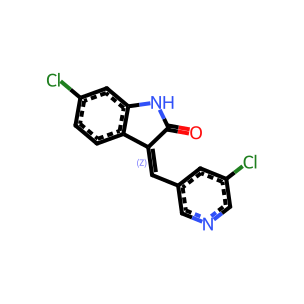 O=C1Nc2cc(Cl)ccc2/C1=C/c1cncc(Cl)c1